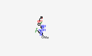 COCc1cn2c(Nc3cc([C@H]4CC[C@@H](OC(=O)CC56CC(C5)C6)[C@H]4F)[nH]n3)nc(C(F)F)cc2n1